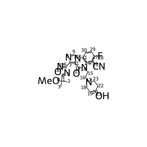 COC(C)(C)c1nc(-c2ncn3c2c(=O)n(CCN2CCC(O)CC2)c2c(C#N)c(F)ccc23)no1